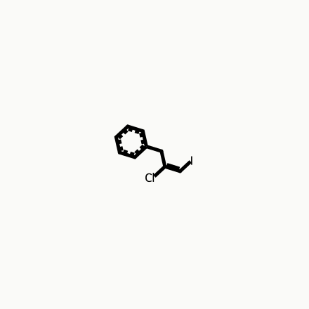 Cl/C(=C/I)Cc1ccccc1